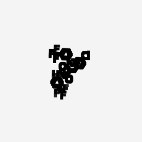 O=C(Nc1cccc(C(F)(F)F)c1)C(=Cc1ccc(Cl)cc1)C(=O)Nc1cccc(C(F)(F)F)c1